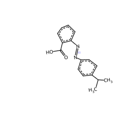 CC(C)c1ccc(/N=N/c2ccccc2C(=O)O)cc1